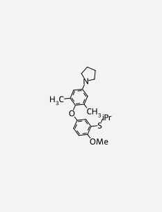 COc1ccc(Oc2c(C)cc(N3CCCC3)cc2C)cc1SC(C)C